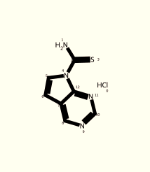 Cl.NC(=S)n1ccc2cncnc21